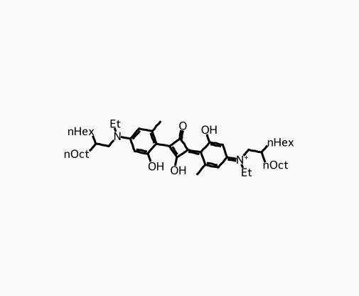 CCCCCCCCC(CCCCCC)CN(CC)c1cc(C)c(C2=C(O)/C(=C3C(C)=C/C(=[N+](\CC)CC(CCCCCC)CCCCCCCC)C=C\3O)C2=O)c(O)c1